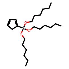 CCCCCCO[Si](OCCCCCC)(OCCCCCC)C1=CC=CC1